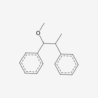 CO[C](c1ccccc1)C(C)c1ccccc1